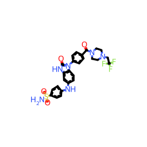 NS(=O)(=O)c1ccc(Nc2ccc3c(c2)[nH]c(=O)n3-c2ccc(C(=O)N3CCN(CC(F)(F)F)CC3)cc2)cc1